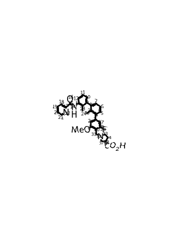 COc1cc(-c2cccc(-c3cccc(NC(=O)c4ccccn4)c3C)c2C)cc(F)c1CN1CC[C@@H](C(=O)O)C1